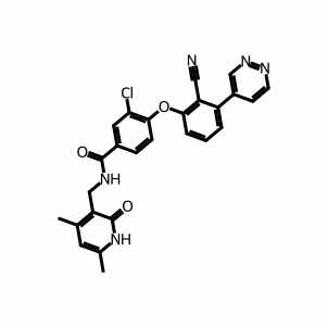 Cc1cc(C)c(CNC(=O)c2ccc(Oc3cccc(-c4ccnnc4)c3C#N)c(Cl)c2)c(=O)[nH]1